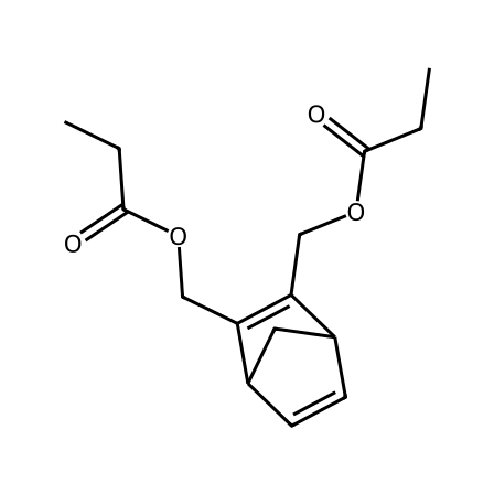 CCC(=O)OCC1=C(COC(=O)CC)C2C=CC1C2